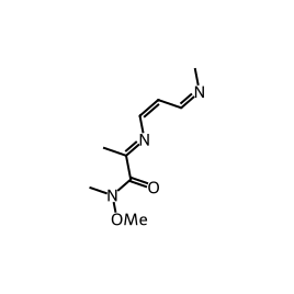 C\N=C/C=C\N=C(/C)C(=O)N(C)OC